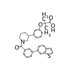 CC(C)(Oc1cccc(C2CCCN(C(=O)c3cccc(-c4ccc5ccsc5c4)c3)C2)c1)C(=O)O